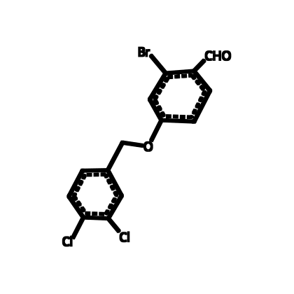 O=Cc1ccc(OCc2ccc(Cl)c(Cl)c2)cc1Br